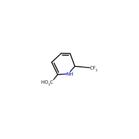 O=C(O)C1=CC=CC(C(F)(F)F)N1